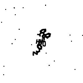 CC(C)c1ccccc1-c1cn(C(=O)Nc2ccc(CC#N)cc2)c2ccccc12